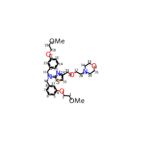 COCCOc1cccc(CN(Cc2cccc(OCCOC)c2)c2nc(COCCN3CCOCC3)cs2)c1